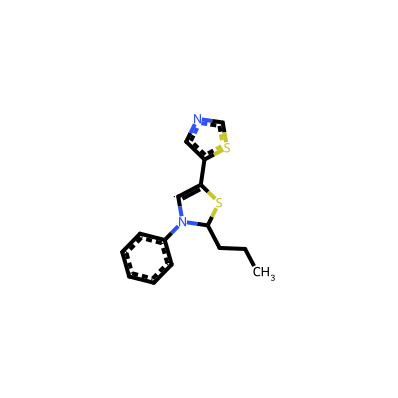 CCCC1SC(c2cncs2)=[C]N1c1ccccc1